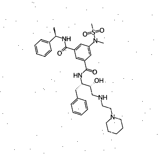 C[C@@H](NC(=O)c1cc(C(=O)N[C@@H](Cc2ccccc2)[C@H](O)CNCCN2CCCCC2)cc(N(C)S(C)(=O)=O)c1)c1ccccc1